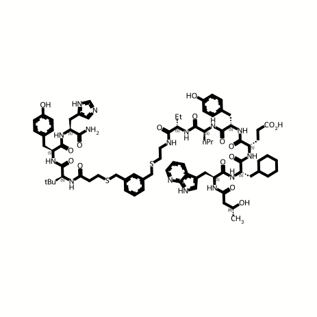 CCC[C@H](NC(=O)[C@H](Cc1ccc(O)cc1)NC(=O)[C@H](CCC(=O)O)NC(=O)[C@H](CC1CCCCC1)NC(=O)[C@H](Cc1c[nH]c2ncccc12)NC(=O)C[C@@H](C)O)C(=O)N[C@@H](CC)C(=O)NCCSCc1cccc(CSCCC(=O)N[C@H](C(=O)N[C@@H](Cc2ccc(O)cc2)C(=O)N[C@@H](Cc2cnc[nH]2)C(N)=O)C(C)(C)C)c1